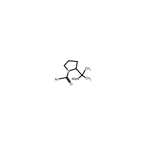 CNC(C)(C)C1CCCN1C(=O)C(C)=O